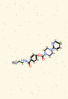 CC(C)(C)CCNC(=O)c1ccc(OC(=O)N2CCN(c3ccc(F)cn3)CC2)cc1